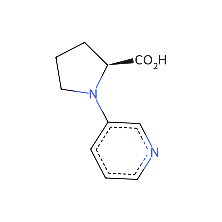 O=C(O)[C@@H]1CCCN1c1cccnc1